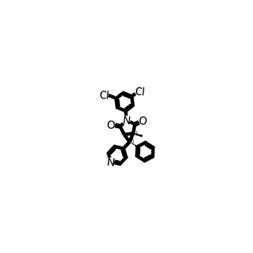 C[C@]12C(=O)N(c3cc(Cl)cc(Cl)c3)C(=O)C1[C@]2(c1ccccc1)c1ccncc1